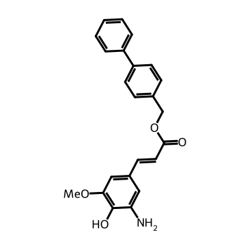 COc1cc(C=CC(=O)OCc2ccc(-c3ccccc3)cc2)cc(N)c1O